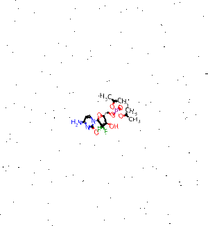 CC(C)OP(=O)(OC[C@H]1O[C@@H](n2ccc(N)nc2=O)C(F)(F)[C@@H]1O)OC(C)C